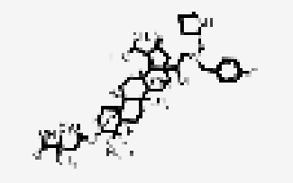 CC(C)C1=C2[C@H]3CC[C@@H]4[C@@]5(C)CC[C@H](OC(=O)CC(C)(C)C(=O)O)C(C)(C)[C@@H]5CC[C@@]4(C)[C@]3(C)CCC2(C(O)CN(Cc2ccc(Cl)cc2)C[C@H]2CCCN2)CC1=O